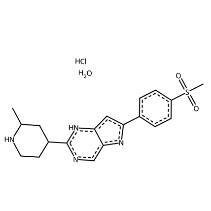 CC1CC(c2ncc3nc(-c4ccc(S(C)(=O)=O)cc4)cc-3[nH]2)CCN1.Cl.O